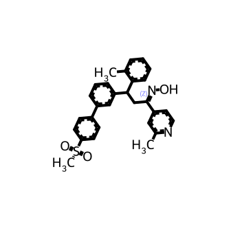 Cc1cc(/C(CC(c2cccc(-c3ccc(S(C)(=O)=O)cc3)c2)c2ccccc2C)=N\O)ccn1